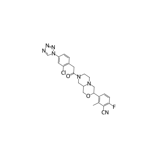 Cc1c(C2CN3CCN(C(=O)Cc4ccc(-n5cnnn5)cc4Cl)CC3CO2)ccc(F)c1C#N